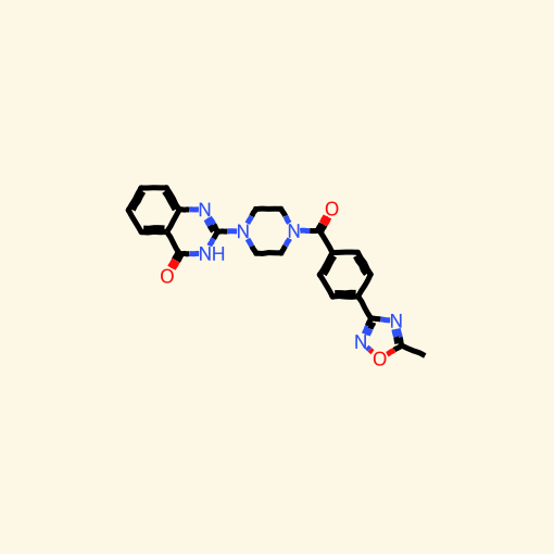 Cc1nc(-c2ccc(C(=O)N3CCN(c4nc5ccccc5c(=O)[nH]4)CC3)cc2)no1